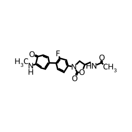 CNc1ccc(-c2ccc(N3CC(CNC(C)=O)OC3=O)cc2F)ccc1=O